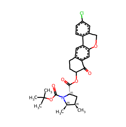 C[C@@H]1C[C@@H](C(=O)OC2CCc3cc4c(cc3C2=O)OCc2cc(Cl)ccc2-4)N(C(=O)OC(C)(C)C)[C@@H]1C